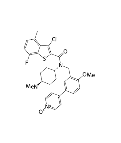 CN[C@H]1CC[C@H](N(Cc2cc(-c3cc[n+]([O-])cc3)ccc2OC)C(=O)c2sc3c(F)ccc(C)c3c2Cl)CC1